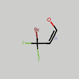 [O]/C=C\C(F)(F)Br